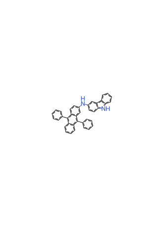 c1ccc(-c2c3ccccc3c(-c3ccccc3)c3cc(Nc4ccc5[nH]c6ccccc6c5c4)ccc23)cc1